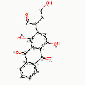 O=CC(CCO)c1cc(O)c2c(c1O)C(=O)c1ccccc1C2=O